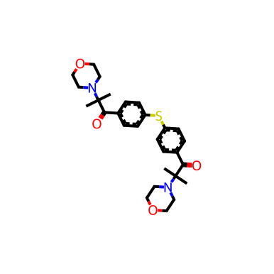 CC(C)(C(=O)c1ccc(Sc2ccc(C(=O)C(C)(C)N3CCOCC3)cc2)cc1)N1CCOCC1